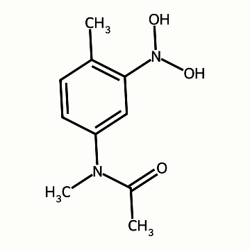 CC(=O)N(C)c1ccc(C)c(N(O)O)c1